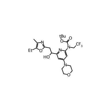 CCc1oc(CC(O)c2cc(N3CCOCC3)cc(N(CC(F)(F)F)C(=O)OC(C)(C)C)n2)nc1C